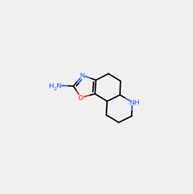 Nc1nc2c(o1)C1CCCNC1CC2